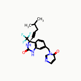 CC(C)CC#C[C@]1(C(F)(F)F)NC(=O)Nc2cc(Cn3cnccc3=O)ccc21